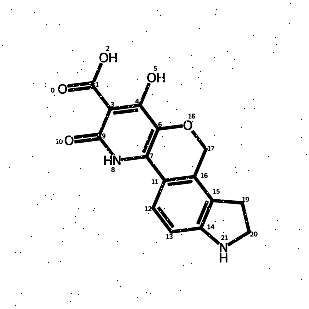 O=C(O)c1c(O)c2c([nH]c1=O)-c1ccc3c(c1CO2)CCN3